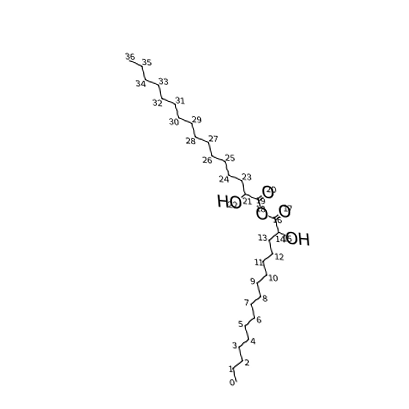 CCCCCCCCCCCCCCC(O)C(=O)OC(=O)C(O)CCCCCCCCCCCCCC